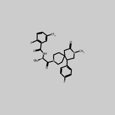 CN1CC(c2ccc(F)cc2)C2(CCN(C(=O)[C@H](NC(=O)c3cc(C(F)(F)F)ccc3F)C(C)(C)C)CC2)CC1=O